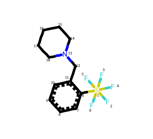 FS(F)(F)(F)(F)c1ccccc1CN1CCCCC1